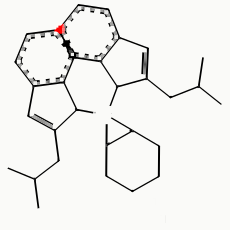 CC(C)CC1=Cc2ccccc2[CH]1[Hf+2]1([CH]2C(CC(C)C)=Cc3ccccc32)[CH]2CCCC[CH]21.[Cl-].[Cl-]